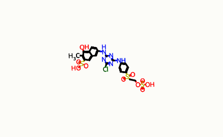 Cc1c(S(=O)(=O)O)cc2cc(Nc3nc(Cl)nc(Nc4ccc(S(=O)(=O)CCOS(=O)(=O)O)cc4)n3)ccc2c1O